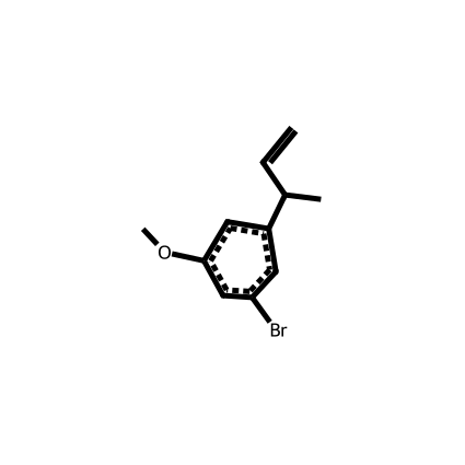 C=C[C](C)c1cc(Br)cc(OC)c1